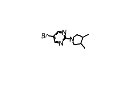 CC1CN(c2ncc(Br)cn2)CC1C